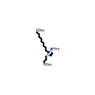 CCCCCCCCCCCCCCCCCCCc1n(CCCCCCCCCCCCC)cc[n+]1CCCCCC